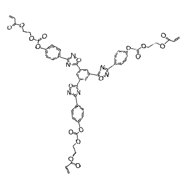 C=CC(=O)OCCOC(=O)Oc1ccc(-c2noc(-c3cc(-c4nc(-c5ccc(OC(=O)OCCOC(=O)C=C)cc5)no4)cc(-c4nc(-c5ccc(OC(=O)OCCOC(=O)C=C)cc5)no4)c3)n2)cc1